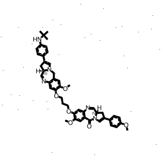 COc1ccc(C2=CN3C(=O)c4cc(OC)c(OCCCOc5cc6c(cc5OC)CN5C=C(c7ccc(NC(C)(C)C)cc7)C[C@H]5C=N6)cc4N=C[C@@H]3C2)cc1